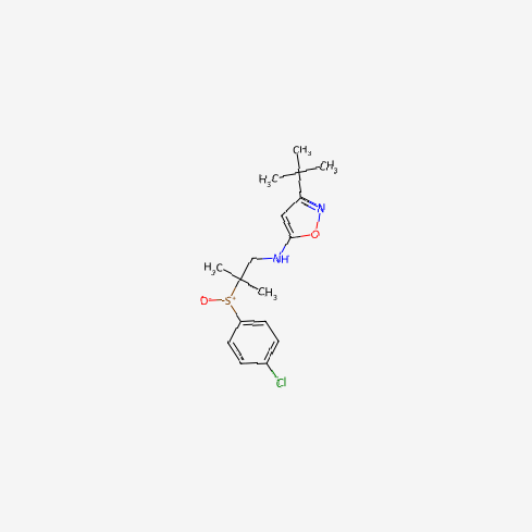 CC(C)(C)c1cc(NCC(C)(C)[S+]([O-])c2ccc(Cl)cc2)on1